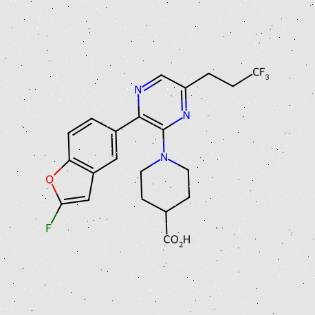 O=C(O)C1CCN(c2nc(CCC(F)(F)F)cnc2-c2ccc3oc(F)cc3c2)CC1